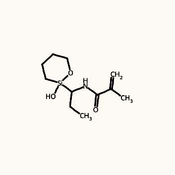 C=C(C)C(=O)NC(CC)[Si]1(O)CCCCO1